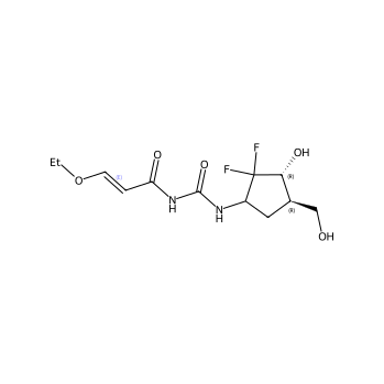 CCO/C=C/C(=O)NC(=O)NC1C[C@H](CO)[C@@H](O)C1(F)F